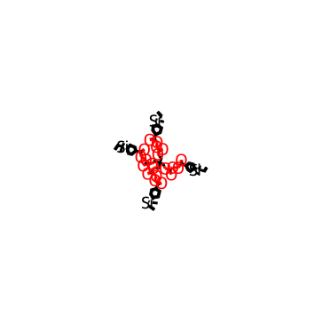 C=C[Si](C)(C)c1ccc(C(=O)OOC(=O)OCC(COC(=O)OOC(=O)c2ccc([Si](C)(C)C=C)cc2)(COC(=O)OOC(=O)c2ccc([Si](C)(C)C=C)cc2)COC(=O)OOC(=O)c2ccc([Si](C)(C)C=C)cc2)cc1